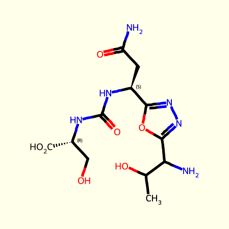 CC(O)C(N)c1nnc([C@H](CC(N)=O)NC(=O)N[C@H](CO)C(=O)O)o1